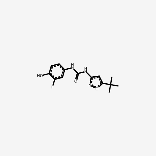 CC(C)(C)c1cc(NC(=O)Nc2ccc(O)c(F)c2)no1